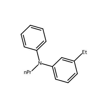 CCCN(c1ccccc1)c1cccc(CC)c1